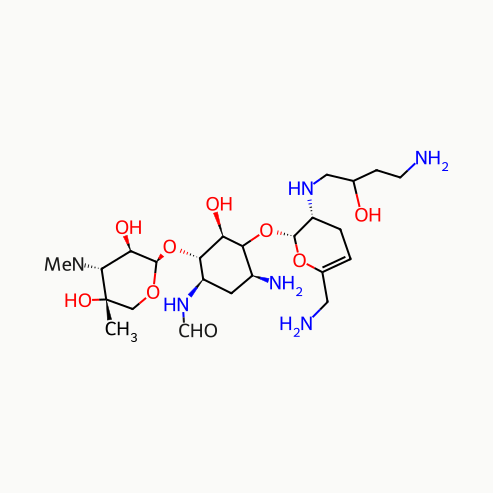 CN[C@@H]1[C@@H](O)[C@@H](O[C@H]2[C@H](NC=O)C[C@H](N)C(O[C@H]3OC(CN)=CC[C@H]3NCC(O)CCN)[C@@H]2O)OC[C@]1(C)O